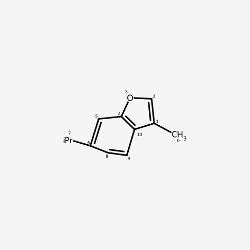 Cc1coc2cc(C(C)C)ccc12